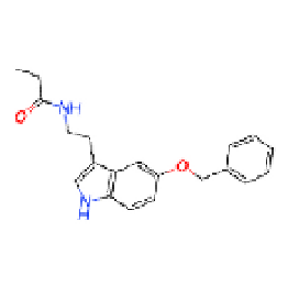 CCC(=O)NCCc1c[nH]c2ccc(OCc3ccccc3)cc12